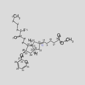 CCCCC(F)C(=O)CCC1[C@H]2C/C(=C/CCCC(=O)OC)C[C@H]2C[C@H]1O[C@@H]1C=CC=CO1